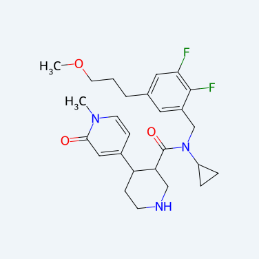 COCCCc1cc(F)c(F)c(CN(C(=O)C2CNCCC2c2ccn(C)c(=O)c2)C2CC2)c1